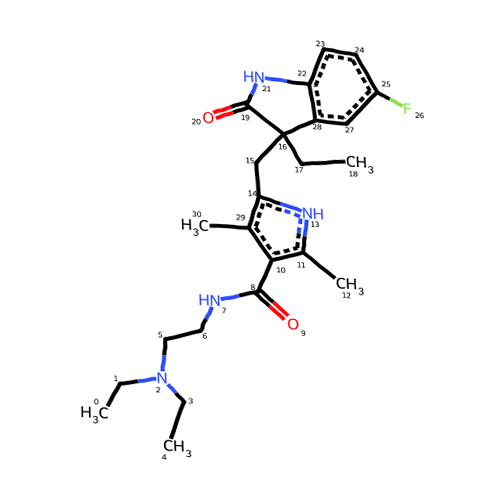 CCN(CC)CCNC(=O)c1c(C)[nH]c(CC2(CC)C(=O)Nc3ccc(F)cc32)c1C